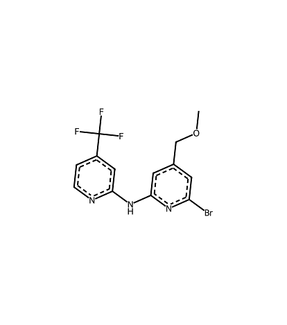 COCc1cc(Br)nc(Nc2cc(C(F)(F)F)ccn2)c1